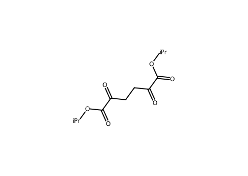 CC(C)OC(=O)C(=O)CCC(=O)C(=O)OC(C)C